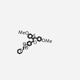 COc1ccc(-c2sc3cc(OC)ccc3c2C(=O)c2ccc(S(=O)(=O)CCN3CCCCC3)cc2)cc1